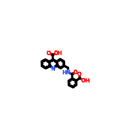 O=C(O)c1ccccc1C(=O)NCc1ccc2c(C(=O)O)c3ccccc3nc2c1